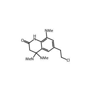 CNc1cc(CCCl)cc2c1NC(=O)CC2(NC)NC